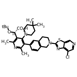 Cc1nc(C)c([C@H](OC(C)(C)C)C(=O)O)c(N2CCC(C)(C)CC2)c1-c1ccc2c(c1)CCN(c1nc3c(Cl)cncc3s1)C2